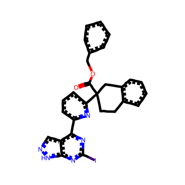 O=C(OCc1ccccc1)C1(c2cccc(-c3nc(I)nc4[nH]ncc34)n2)CCc2ccccc2C1